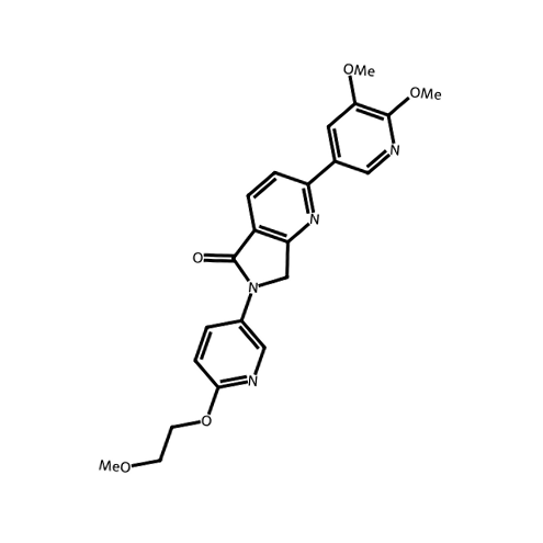 COCCOc1ccc(N2Cc3nc(-c4cnc(OC)c(OC)c4)ccc3C2=O)cn1